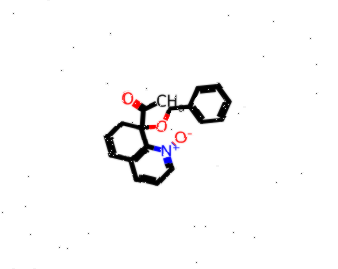 CC(=O)C1(OCc2ccccc2)CC=Cc2ccc[n+]([O-])c21